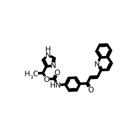 CC(OC(=O)Nc1ccc(C(=O)C=Cc2ccc3ccccc3n2)cc1)c1c[nH]cn1